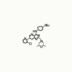 CC1CN(Cc2nc(Nc3ccc(C(C)(C)C)cc3)c3ncc(-c4ncccc4Cl)cc3n2)CC(C)O1